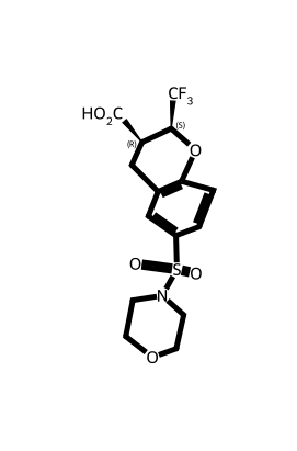 O=C(O)[C@@H]1Cc2cc(S(=O)(=O)N3CCOCC3)ccc2O[C@@H]1C(F)(F)F